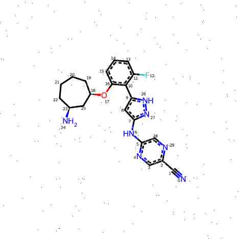 N#Cc1cnc(Nc2cc(-c3c(F)cccc3O[C@@H]3CCCC[C@H](N)C3)[nH]n2)cn1